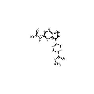 C=CC(=O)N1CC=C(c2c[nH]c3ncc(NC(=O)O)cc23)CC1